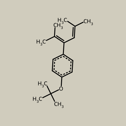 CC(C)=CC(=C(C)C)c1ccc(OC(C)(C)C)cc1